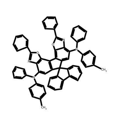 Cc1ccc(N(c2ccccc2)c2cc3c(c4oc(-c5ccccc5)nc24)-c2c(cc(N(c4ccccc4)c4ccc(C)cc4)c4nc(-c5ccccc5)oc24)C32c3ccccc3-c3ccccc32)cc1